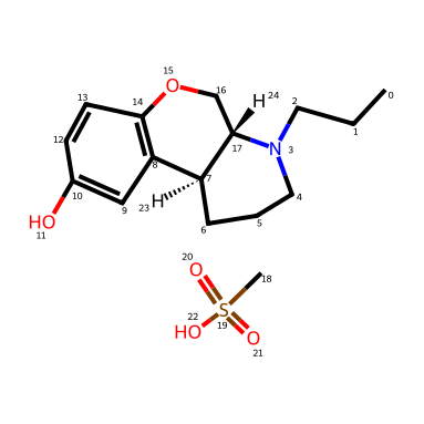 CCCN1CCC[C@H]2c3cc(O)ccc3OC[C@@H]21.CS(=O)(=O)O